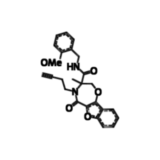 C#CCCN1C(=O)c2oc3ccccc3c2OCC1(C)C(=O)NCc1ccccc1OC